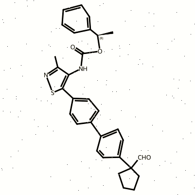 Cc1nsc(-c2ccc(-c3ccc(C4(C=O)CCCC4)cc3)cc2)c1NC(=O)O[C@H](C)c1ccccc1